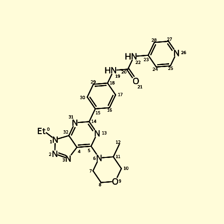 CCn1nnc2c(N3CCOCC3C)nc(-c3ccc(NC(=O)Nc4ccncc4)cc3)nc21